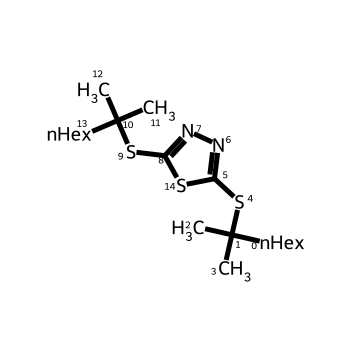 CCCCCCC(C)(C)Sc1nnc(SC(C)(C)CCCCCC)s1